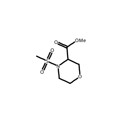 COC(=O)C1COCCN1S(C)(=O)=O